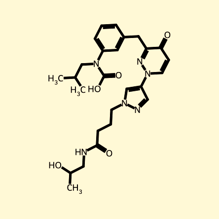 CC(C)CN(C(=O)O)c1cccc(Cc2nn(-c3cnn(CCCC(=O)NCC(C)O)c3)ccc2=O)c1